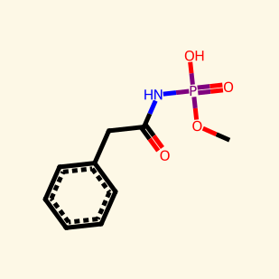 COP(=O)(O)NC(=O)Cc1ccccc1